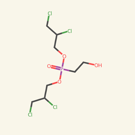 O=P(CCO)(OCC(Cl)CCl)OCC(Cl)CCl